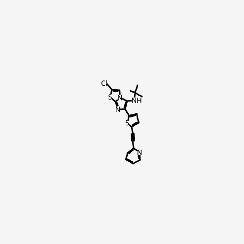 CC(C)(C)Nc1c(-c2ccc(C#Cc3ccccn3)s2)nc2sc(Cl)cn12